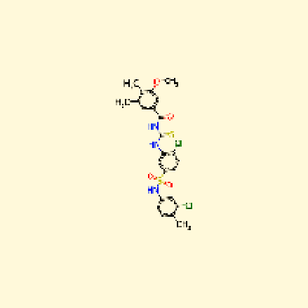 COc1cc(C(=O)NC(=S)Nc2cc(S(=O)(=O)Nc3ccc(C)c(Cl)c3)ccc2Cl)cc(C)c1C